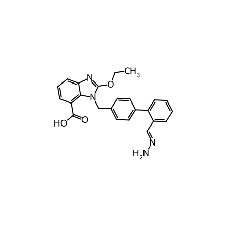 CCOc1nc2cccc(C(=O)O)c2n1Cc1ccc(-c2ccccc2C=NN)cc1